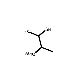 COC(C)C(S)S